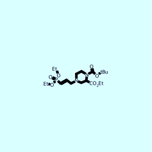 CCOC(=O)C1CN(CC=CP(=O)(OCC)OCC)CCN1C(=O)OC(C)(C)C